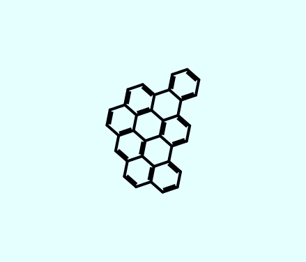 c1ccc2c(c1)c1ccc3ccc4cc5ccc6cccc7c8ccc2c2c1c3c4c(c5c67)c82